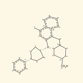 Cc1cc(O[C@H]2CC[C@@H](c3ccccc3)CC2)c(CN2CCC(C(=O)O)CC2)c2ccccc12